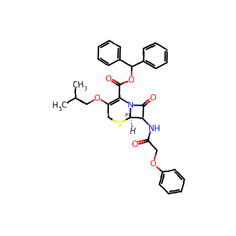 CC(C)COC1=C(C(=O)OC(c2ccccc2)c2ccccc2)N2C(=O)C(NC(=O)COc3ccccc3)[C@H]2SC1